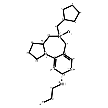 [O-][N+]1(CC2CCCC2)CC2=CN[C@H](NCCF)N=C2N2CCCC2C1